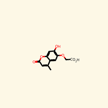 Cc1cc(=O)oc2cc(O)c(OCC(=O)O)cc12